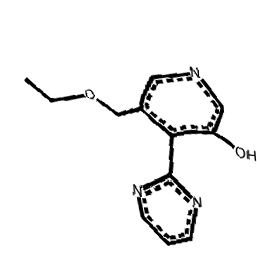 CCOCc1cncc(O)c1-c1ncccn1